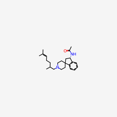 CC(=O)N[C@H]1CC2(CCN(CC(C)CCC=C(C)C)CC2)c2ccccc21